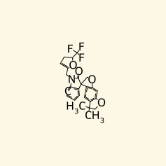 CC1(C)COc2cc3c(cc21)C1(CO3)C(=O)N(CC2=CCC(C(F)(F)F)O2)c2ccccc21